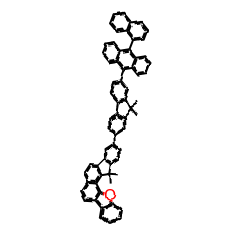 CC1(C)c2cc(-c3ccc4c(c3)-c3ccc5ccc6c7ccccc7oc6c5c3C4(C)C)ccc2-c2ccc(-c3c4ccccc4c(-c4cccc5ccccc45)c4ccccc34)cc21